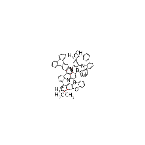 CC(C)(C)c1cc2c3c(c1)N(c1c(-c4ccccc4)cccc1-c1ccccc1)c1cc4c(cc1B3c1ccccc1O2)B1c2ccccc2N2c3cc(cc(c31)N4c1ccc3c4ccccc4c4ccccc4c3c1)C(C)(C)c1ccc(cc1)-c1cccc(-c3ccccc3)c12